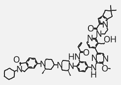 C=CC(=O)Nc1cc(Nc2nc(-c3ccnc(N4CCn5c(cc6c5CC(C)(C)C6)C4=O)c3CO)cnc2OC)ccc1N1CCN(C2CCN(c3ccc4c(c3)CN(C3CCCCC3)C4=O)[C@H](C)C2)C[C@@H]1C